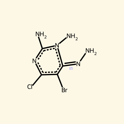 N/N=c1/c(Br)c(Cl)nc(N)n1N